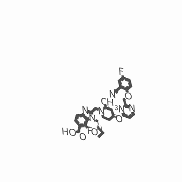 C[C@H]1C[C@@H](Oc2ccnc(COc3ccc(F)cc3C#N)n2)CCN1Cc1nc2ccc(C(=O)O)c(F)c2n1C[C@@H]1CCO1